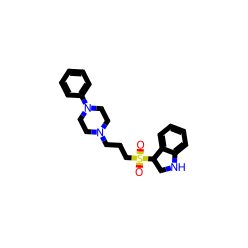 O=S(=O)(CCCN1CCN(c2ccccc2)CC1)C1CNc2ccccc21